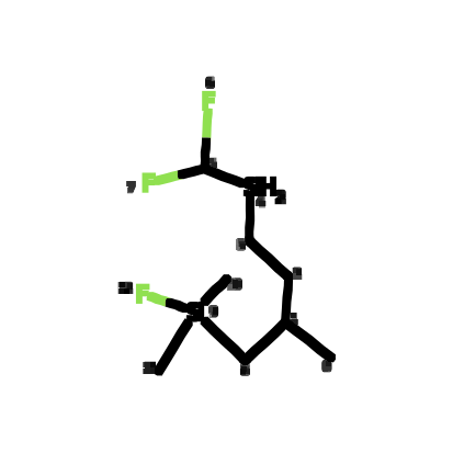 CC(CC[SiH2]C(F)F)C[Si](C)(C)F